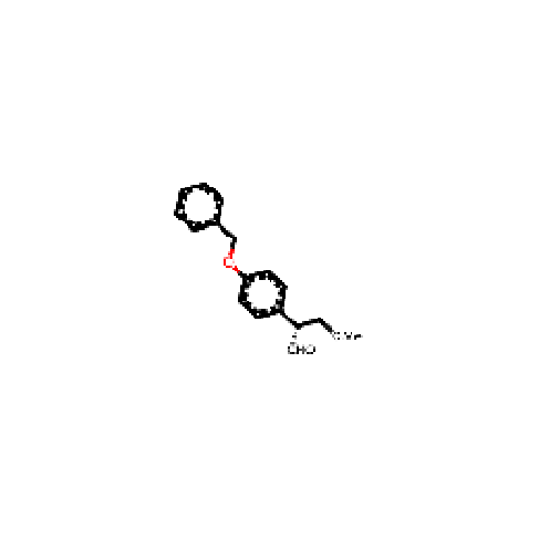 COC[C@H](C=O)c1ccc(OCc2ccccc2)cc1